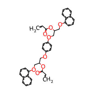 C=CC(=O)OC(COc1ccc(OCC(COc2cccc3ccccc23)OC(=O)C=C)cc1)COc1cccc2ccccc12